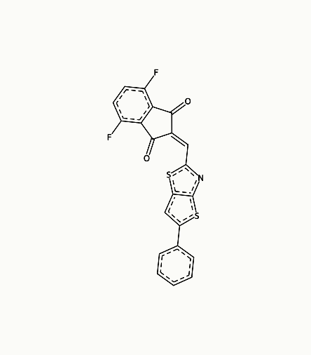 O=C1C(=Cc2nc3sc(-c4ccccc4)cc3s2)C(=O)c2c(F)ccc(F)c21